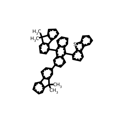 CC1(C)c2ccccc2-c2ccc(-c3ccc4c(-c5cccc6c5sc5ccccc56)c5ccccc5c(-c5cccc6c5-c5ccccc5C6(C)C)c4c3)cc21